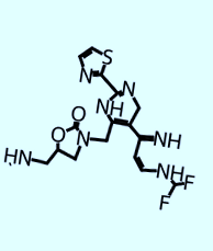 CNCC1CN(CC2=C(C(=N)/C=C\NC(F)F)CN=C(c3nccs3)N2)C(=O)O1